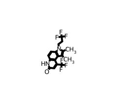 Cc1c(C)n(CCC(F)(F)F)c2ccc3[nH]c(=O)cc(C(F)(F)F)c3c12